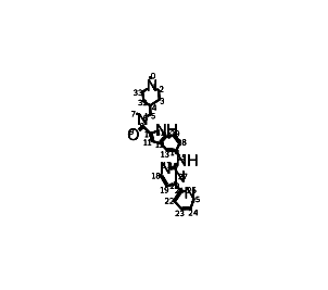 CN1CCC(CN(C)C(=O)c2cc3cc(Nc4nccc(-c5ccccn5)n4)ccc3[nH]2)CC1